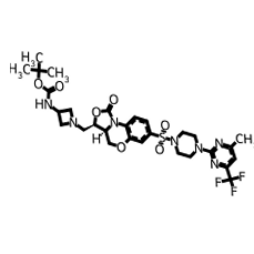 Cc1cc(C(F)(F)F)nc(N2CCN(S(=O)(=O)c3ccc4c(c3)OC[C@H]3[C@@H](CN5CC(NC(=O)OC(C)(C)C)C5)OC(=O)N43)CC2)n1